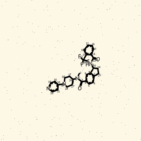 CN(C(=O)c1ccc2c(c1)C(NC(=O)c1ccccc1C(F)(F)F)CC2)C1CCN(c2ccncc2)CC1